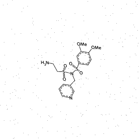 COc1ccc(S(=O)(=O)N(Cc2cccnc2)S(=O)(=O)CCN)cc1OC